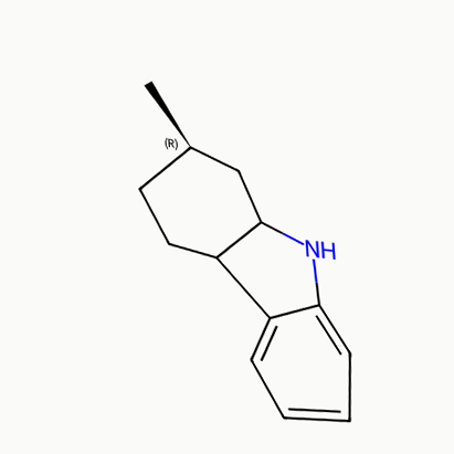 C[C@@H]1CCC2c3ccccc3NC2C1